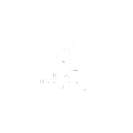 N=C(N)N/N=C(/Cc1ccccc1F)c1cc(F)ccc1Br